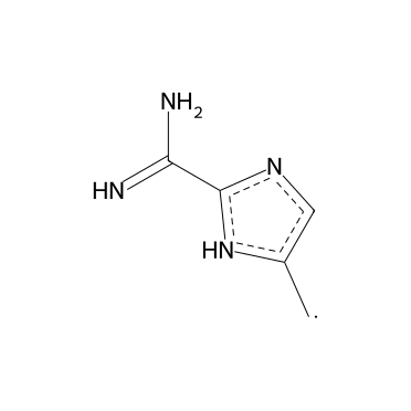 [CH2]c1cnc(C(=N)N)[nH]1